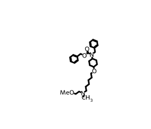 COCCN(C)CCCCCCOC1CCC(N(Cc2ccccc2)C(=O)OCc2ccccc2)CC1